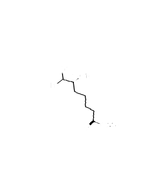 COC(=O)CCCC[C@H](O)C(C(=O)O)C(C)C